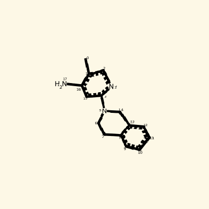 Cc1cnc(N2CCc3ccccc3C2)cc1N